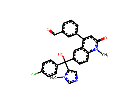 Cn1cncc1C(O)(c1ccc(Cl)cc1)c1ccc2c(c1)c(-c1cccc(C=O)c1)cc(=O)n2C